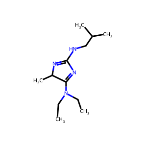 CCN(CC)C1=NC(NCC(C)C)=NC1C